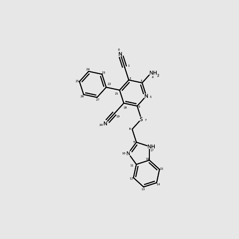 N#Cc1c(N)nc(SCc2nc3ccccc3[nH]2)c(C#N)c1-c1ccccc1